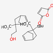 CC(C)(C)C1(C(=O)O)CC2C=CC1C2.O=C(O)C1(CCO)CC2C=CC1C2.O=C1C=CC(=O)O1